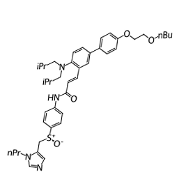 CCCCOCCOc1ccc(-c2ccc(N(CC(C)C)CC(C)C)c(/C=C/C(=O)Nc3ccc([S@@+]([O-])Cc4cncn4CCC)cc3)c2)cc1